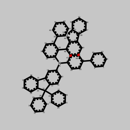 c1ccc(-c2ccc(N(c3ccc4c(c3)-c3ccccc3C4(c3ccccc3)c3ccccc3)c3cccc(-c4ccccc4)c3-c3cccc4c3oc3ccccc34)cc2)cc1